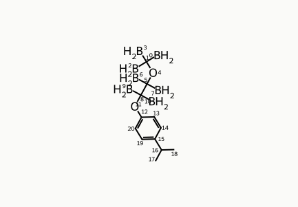 BC(B)(B)OC(B)(B)C(B)(B)Oc1ccc(C(C)C)cc1